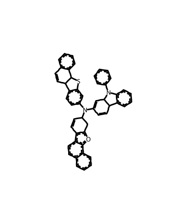 C1=CC2c3ccccc3N(c3ccccc3)C2C=C1N(c1ccc2c(c1)SC1c3ccccc3C=CC21)C1C=Cc2c(oc3c2ccc2ccccc23)C1